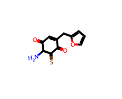 NC1C(=O)C=C(Cc2ccco2)C(=O)C1=S